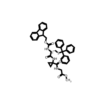 COC(=O)CNC(=O)C1(NC(=O)[C@@H](CSC(c2ccccc2)(c2ccccc2)c2ccccc2)NC(=O)OCC2c3ccccc3-c3ccccc32)CC1